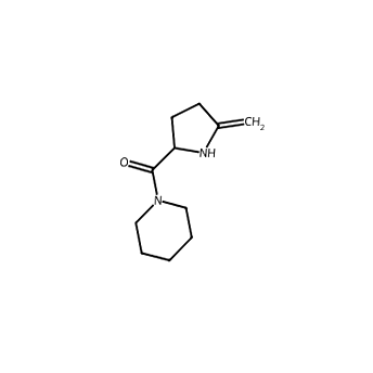 C=C1CCC(C(=O)N2CCCCC2)N1